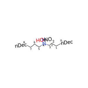 CCCCCCCCCCCCCNCCCCCCCCCCCCC.O=[N+]([O-])O